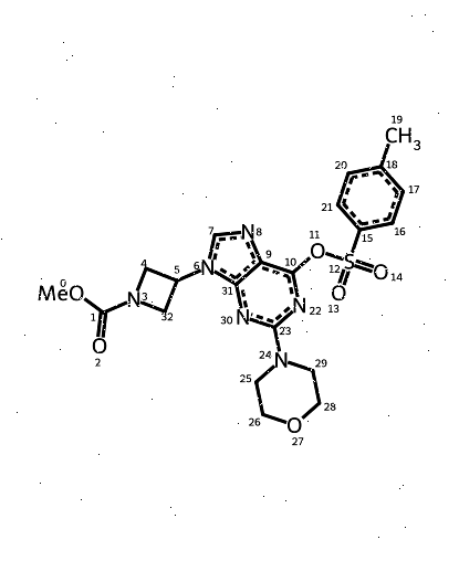 COC(=O)N1CC(n2cnc3c(OS(=O)(=O)c4ccc(C)cc4)nc(N4CCOCC4)nc32)C1